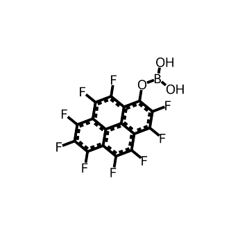 OB(O)Oc1c(F)c(F)c2c(F)c(F)c3c(F)c(F)c(F)c4c(F)c(F)c1c2c34